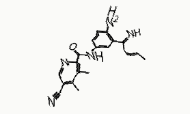 C/C=C/C(=N)c1cc(NC(=O)c2ncc(C#N)c(C)c2C)ccc1N